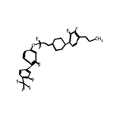 CCCc1ccc(C2CCC(CCC(F)(F)Oc3ccc(-c4ccc(C(F)(F)F)c(F)c4)c(F)c3)CC2)c(F)c1F